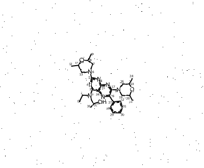 CCN(c1nc(N2CC(C)OC(C)C2)nc2nc(N3CC(C)OC(C)C3)c(-c3ccccc3)nc12)C(C)O